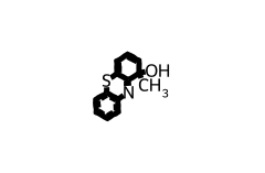 CC1(O)C=CC=C2Sc3ccccc3N=C21